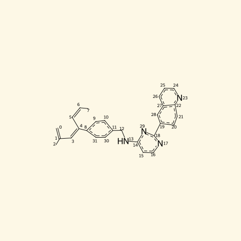 C=C(C)/C=C(\C=C/C)c1ccc(CNc2ccnc(-c3ccc4ncccc4c3)n2)cc1